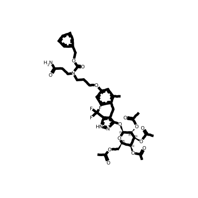 CC(=O)OC[C@H]1O[C@@H](Oc2n[nH]c(C(F)(F)F)c2Cc2ccc(OCCCN(CCC(N)=O)C(=O)OCc3ccccc3)cc2C)[C@H](OC(C)=O)[C@@H](OC(C)=O)[C@H]1OC(C)=O